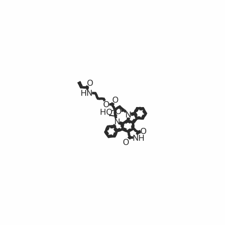 C=CC(=O)NCCCOC(=O)[C@@]1(O)CC2O[C@]1(C)n1c3ccccc3c3c4c(c5c6ccccc6n2c5c31)C(=O)NC4=O